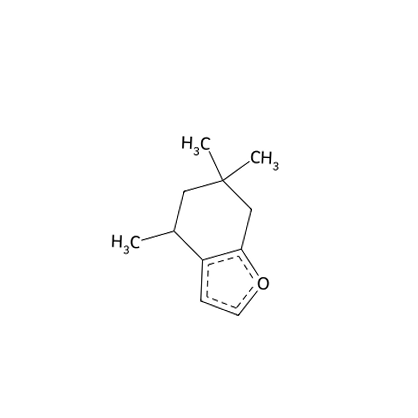 CC1CC(C)(C)Cc2occc21